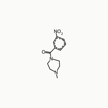 CN1CCN(C(=O)c2cccc([N+](=O)[O-])c2)CC1